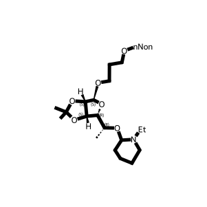 CCCCCCCCCOCCCO[C@H]1O[C@H]([C@@H](C)OC2CCCCN2CC)[C@@H]2OC(C)(C)O[C@H]12